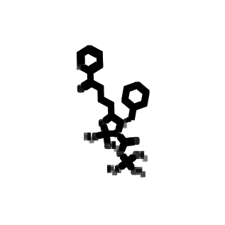 CC(C)(C)OC(=O)N1[C@@H](CC2CCCCC2)C(CCCC(=O)c2ccccn2)OC1(C)C